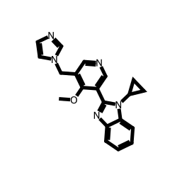 COc1c(Cn2ccnc2)cncc1-c1nc2ccccc2n1C1CC1